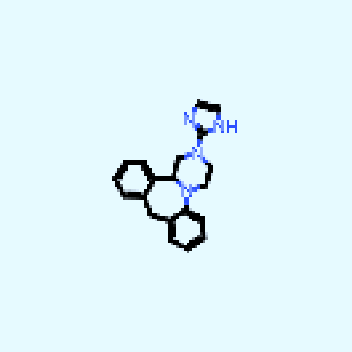 c1ccc2c(c1)Cc1ccccc1N1CCN(c3ncc[nH]3)CC21